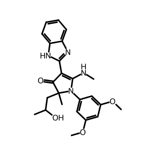 CNC1=C(c2nc3ccccc3[nH]2)C(=O)C(C)(CC(C)O)N1c1cc(OC)cc(OC)c1